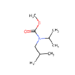 [CH2]OC(=O)N(CC(C)C)C(C)C